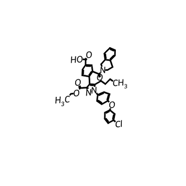 CCCCc1c(-c2ccc(C(=O)O)cc2C(=O)N2CCc3ccccc3C2)c(C(=O)OCC)nn1-c1ccc(Oc2cccc(Cl)c2)cc1